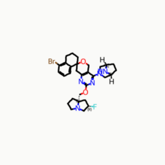 F[C@H]1CN2CCC[C@@]2(COc2nc3c(c(N4C[C@H]5CC[C@@H](C4)N5)n2)COC2(CCCc4c(Br)cccc42)C3)C1